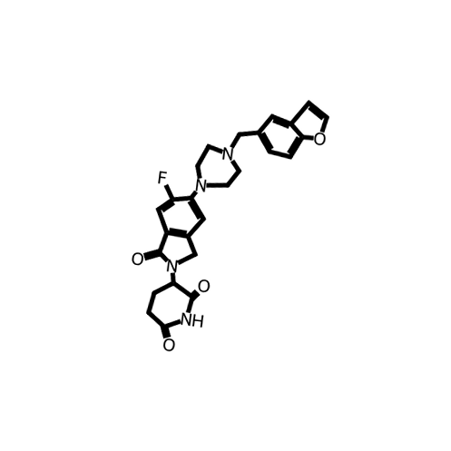 O=C1CCC(N2Cc3cc(N4CCN(Cc5ccc6occc6c5)CC4)c(F)cc3C2=O)C(=O)N1